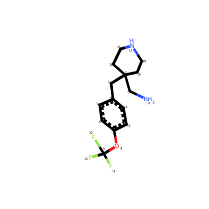 NCC1(Cc2ccc(OC(F)(F)F)cc2)CCNCC1